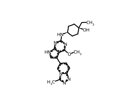 CC[C@]1(O)CC[C@@H](Nc2nc(OC)c3c(-c4ccc5nnc(C)n5c4)c[nH]c3n2)CC1